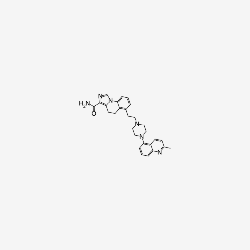 Cc1ccc2c(N3CCN(CCc4cccc5c4CCc4c(C(N)=O)ncn4-5)CC3)cccc2n1